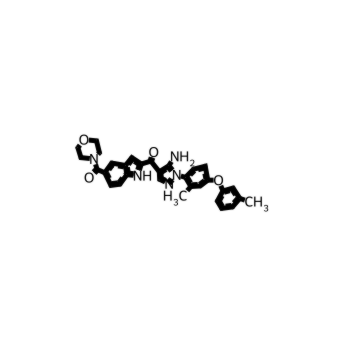 Cc1cccc(Oc2ccc(-n3ncc(C(=O)c4cc5cc(C(=O)N6CCOCC6)ccc5[nH]4)c3N)c(C)c2)c1